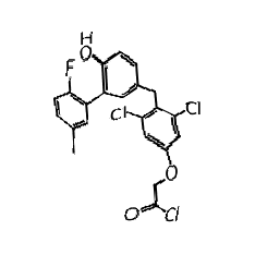 Cc1ccc(F)c(-c2cc(Cc3c(Cl)cc(OCC(=O)Cl)cc3Cl)ccc2O)c1